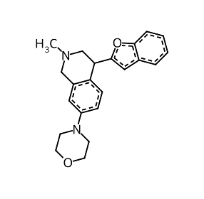 CN1Cc2cc(N3CCOCC3)ccc2C(c2cc3ccccc3o2)C1